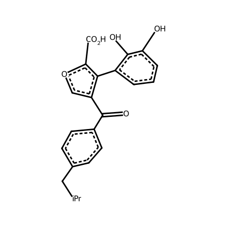 CC(C)Cc1ccc(C(=O)c2coc(C(=O)O)c2-c2cccc(O)c2O)cc1